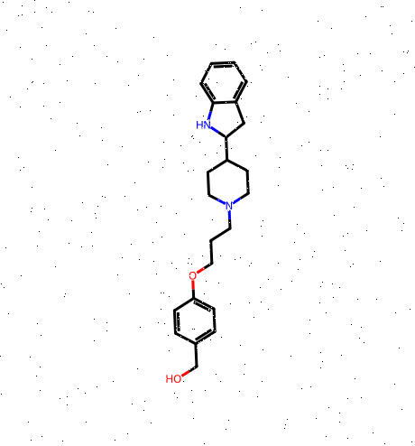 OCc1ccc(OCCCN2CCC(C3Cc4ccccc4N3)CC2)cc1